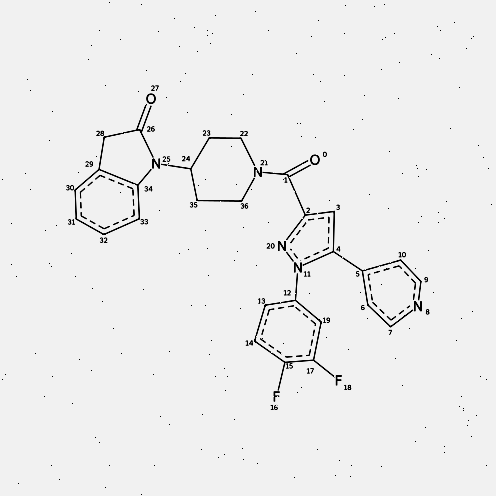 O=C(c1cc(-c2ccncc2)n(-c2ccc(F)c(F)c2)n1)N1CCC(N2C(=O)Cc3ccccc32)CC1